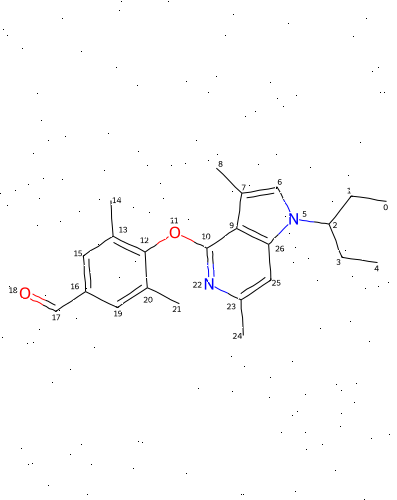 CCC(CC)n1cc(C)c2c(Oc3c(C)cc(C=O)cc3C)nc(C)cc21